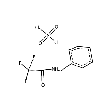 O=C(NCc1ccccc1)C(F)(F)F.O=S(=O)(Cl)Cl